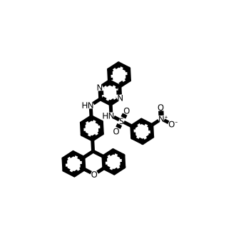 O=[N+]([O-])c1cccc(S(=O)(=O)Nc2nc3ccccc3nc2Nc2ccc(C3c4ccccc4Oc4ccccc43)cc2)c1